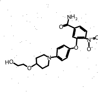 NC(=O)c1ccc([N+](=O)[O-])c(Oc2ccc(N3CCC(OCCO)CC3)cc2)c1